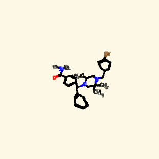 CCN(CC)C(=O)c1ccc([C@H](c2ccccc2)N2CC(C)(C)N(CC3C=CC(Br)=CC3)C[C@@H]2C)cc1